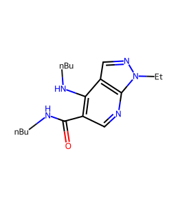 CCCCNC(=O)c1cnc2c(cnn2CC)c1NCCCC